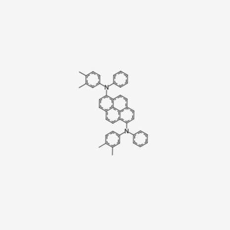 Cc1ccc(N(c2ccccc2)c2ccc3ccc4c(N(c5ccccc5)c5ccc(C)c(C)c5)ccc5ccc2c3c54)cc1C